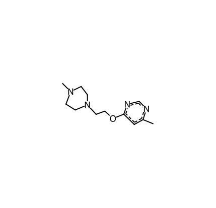 Cc1cc(OCCN2CCN(C)CC2)ncn1